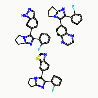 Fc1ccccc1-c1nc2n(c1-c1ccc3cn[nH]c3c1)CCC2.Fc1ccccc1-c1nc2n(c1-c1ccc3nccnc3c1)CCC2.Fc1ccccc1-c1nc2n(c1-c1ccc3ncsc3c1)CCC2